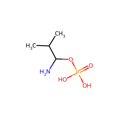 CC(C)C(N)OP(=O)(O)O